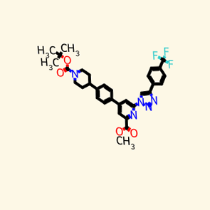 COC(=O)c1cc(-c2ccc(C3CCN(C(=O)OC(C)(C)C)CC3)cc2)cc(-n2cc(-c3ccc(C(F)(F)F)cc3)nn2)n1